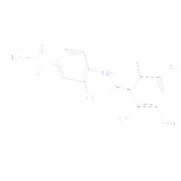 CC(=O)c1cc(C(C)(C)C)c(O)c(C(=O)Nc2ccc(S(=O)(=O)C(F)(F)F)cc2Cl)c1C